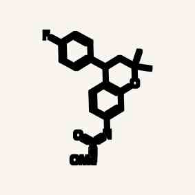 CO[SH](=O)=Nc1ccc2c(c1)OC(C)(C)CC2c1ccc(F)cc1